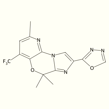 Cc1cc(C(F)(F)F)c2c(n1)-n1cc(-c3nnco3)nc1C(C)(C)O2